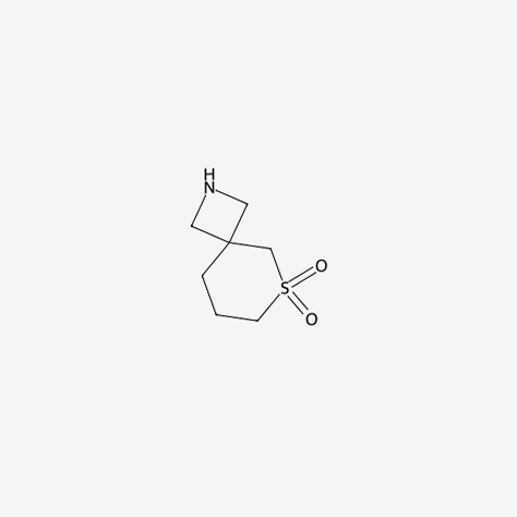 O=S1(=O)CCCC2(CNC2)C1